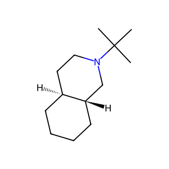 CC(C)(C)N1CC[C@@H]2CCCC[C@H]2C1